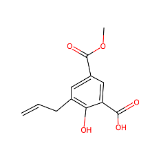 C=CCc1cc(C(=O)OC)cc(C(=O)O)c1O